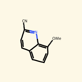 COc1cccc2ccc(C#N)nc12